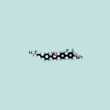 C=CCCC1CCC(C2CCC(c3ccc(-c4ccc(OCCC)c(F)c4F)cc3)OC2)CC1